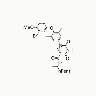 CCCCCC(C)OC(=O)c1nn(-c2cc(C)c(Oc3ccc(OC)c(Br)c3)c(C)c2)c(=O)[nH]c1=O